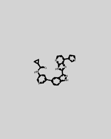 O=C(Nc1cncc(-c2ccc3[nH]nc(-c4nc5c(-c6ccsc6)ccnc5[nH]4)c3c2)c1)C1CC1